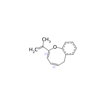 C=C(C)/C1=C/C=C\Cc2ccccc2O1